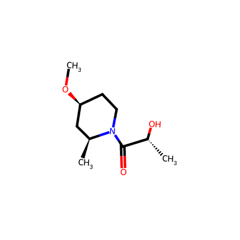 CO[C@H]1CCN(C(=O)[C@@H](C)O)[C@@H](C)C1